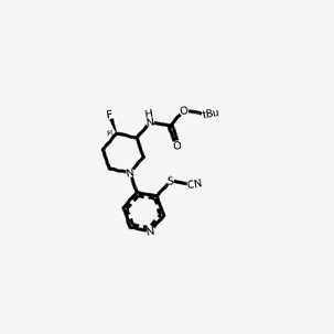 CC(C)(C)OC(=O)NC1CN(c2ccncc2SC#N)CC[C@H]1F